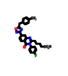 Cc1ccc(Cc2nc(-c3ccc4c(=O)n(-c5ccc(F)cc5)c(CCCCC(=O)O)nc4c3)no2)cc1